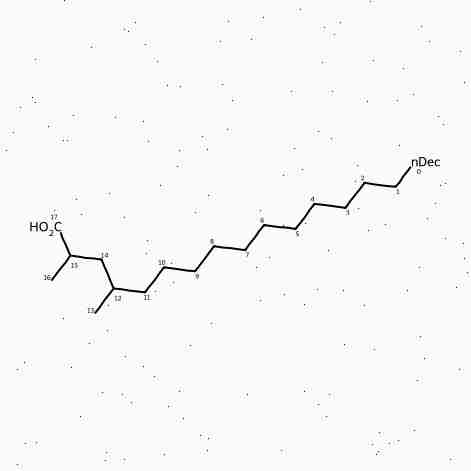 CCCCCCCCCCCCCCCCCCCCCC(C)CC(C)C(=O)O